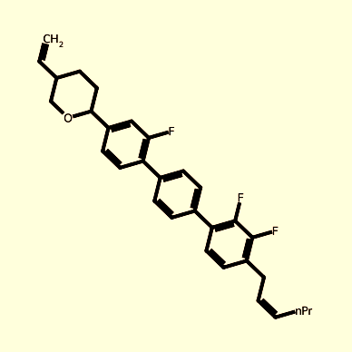 C=CC1CCC(c2ccc(-c3ccc(-c4ccc(C/C=C\CCC)c(F)c4F)cc3)c(F)c2)OC1